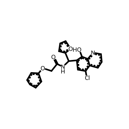 O=C(COc1ccccc1)NC(c1ccco1)c1cc(Cl)c2cccnc2c1O